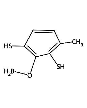 BOc1c(S)ccc(C)c1S